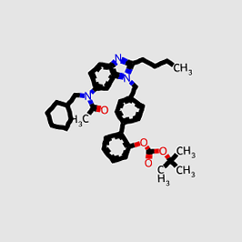 CCCCc1nc2ccc(N(CC3CCCCC3)C(C)=O)cc2n1Cc1ccc(-c2ccccc2OC(=O)OC(C)(C)C)cc1